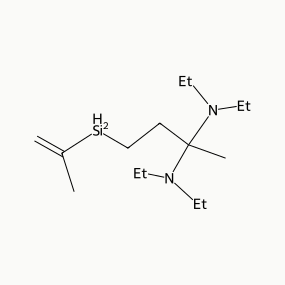 C=C(C)[SiH2]CCC(C)(N(CC)CC)N(CC)CC